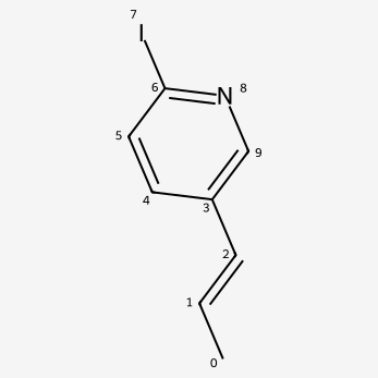 CC=Cc1ccc(I)nc1